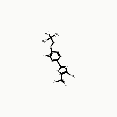 Cc1nc(-c2ccc(OCC(C)(C)C)c(I)c2)sc1C(=O)O